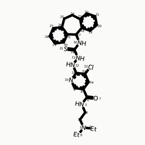 CCN(CC)CCNC(=O)c1cnc(NNC(=S)NC2c3ccccc3CCc3ccccc32)c(Cl)c1